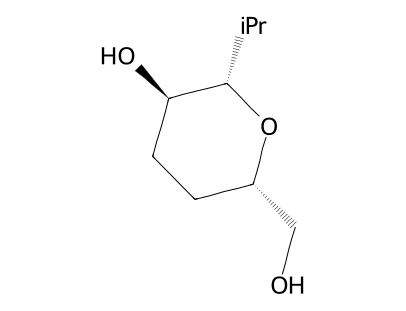 CC(C)[C@@H]1O[C@H](CO)CC[C@H]1O